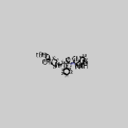 C/C(=C\C(=O)N(CCN1CCN(C(=O)OC(C)(C)C)CC1)c1ccccc1)c1n[nH]c2ncccc12